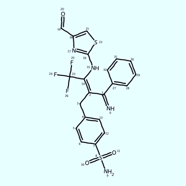 N=C(/C(Cc1ccc(S(N)(=O)=O)cc1)=C(\Nc1nc(C=O)cs1)C(F)(F)F)c1ccccc1